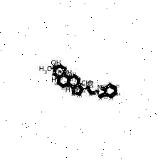 CC[C@]12CC[C@@](C)(O)C[C@@H]1CC[C@H]1[C@@H]3CC[C@H](C(=O)Cn4cc5ccccc5n4)[C@@]3(C)CC[C@@H]12